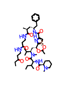 CCC(=O)CCNC(=O)CCNC(=O)[C@@H](C)C[C@H](Cc1ccccc1)NC(=O)c1csc([C@@H](C[C@H](C(C)C)N(C)C(=O)[C@@H](NC(=O)[C@H]2CCCCN2C)C(C)CC)OC(C)=O)n1